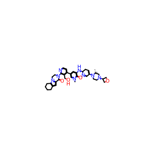 C[C@@H]1CN(C2COC2)CCN1C1=CCC(Nc2cc(-c3ccnc(N4CCn5c(cc6c5CCCC6)C4=O)c3CO)cn(C)c2=O)N=C1